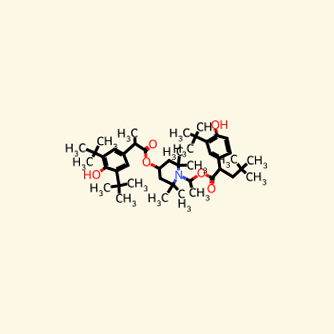 CC(C(=O)OC1CC(C)(C)N(C(C)OC(=O)C(CC(C)(C)C)c2ccc(O)c(C(C)(C)C)c2)C(C)(C)C1)c1cc(C(C)(C)C)c(O)c(C(C)(C)C)c1